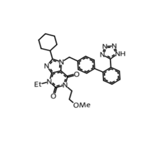 CCn1c(=O)n(CCOC)c(=O)c2c1nc(C1CCCCC1)n2Cc1ccc(-c2ccccc2-c2nnn[nH]2)cc1